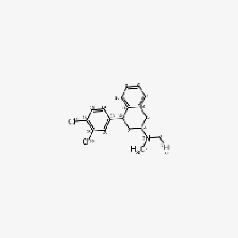 [2H]CN(C)C1Cc2ccccc2C(c2ccc(Cl)c(Cl)c2)C1